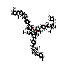 Cc1ccc(Cc2nnc(NC(=O)c3ccc(C4CCC(C(C(=O)O)C(C(=O)O)(C5CCC(c6ccc(C(=O)Nc7nnc(Cc8cccc(F)c8)s7)cc6)CC5)C(C(=O)O)C5CCC(c6ccc(C(=O)Nc7nnc(Cc8ccccc8F)s7)cc6)CC5)CC4)cc3)s2)cc1